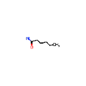 CCCCCC([N])=O